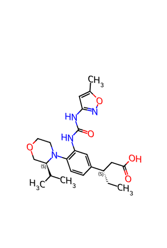 CC[C@@H](CC(=O)O)c1ccc(N2CCOC[C@@H]2C(C)C)c(NC(=O)Nc2cc(C)on2)c1